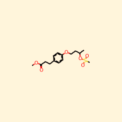 COC(=O)CCc1ccc(OCCC(C)OS(C)(=O)=O)cc1